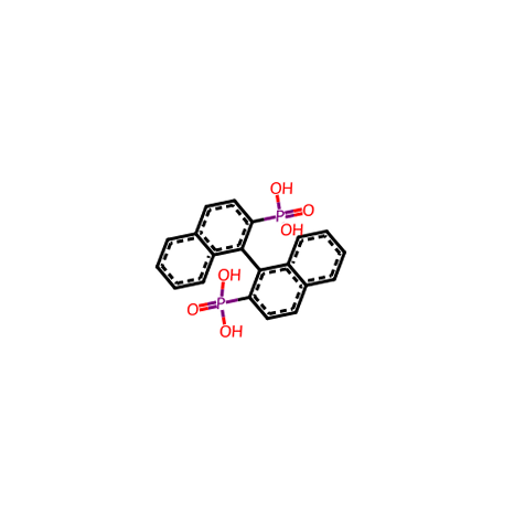 O=P(O)(O)c1ccc2ccccc2c1-c1c(P(=O)(O)O)ccc2ccccc12